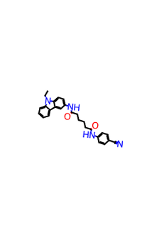 CCn1c2ccccc2c2cc(NC(=O)CCCCC(=O)Nc3ccc(C#N)cc3)ccc21